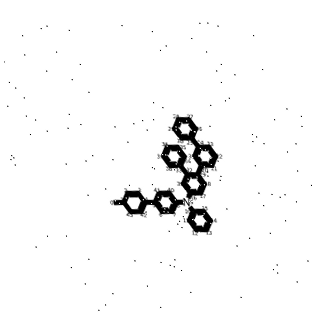 CC1C=CC(c2ccc(N(c3ccccc3)c3ccc(-c4cccc(-c5ccccc5)c4)c(-c4ccccc4)c3)cc2)=CC1